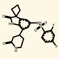 O=C1CC(c2cc(NS(=O)(=O)c3ccc(F)cc3F)cc3c2NC(=O)C32CCC2)CCN1